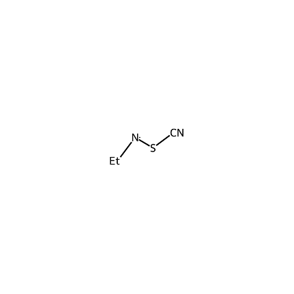 CC[N]SC#N